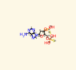 Nc1ncnc2c1ncn2[C@H]1C[C@H](O[PH](O)=S)[C@@H](COP(O)(O)=S)O1